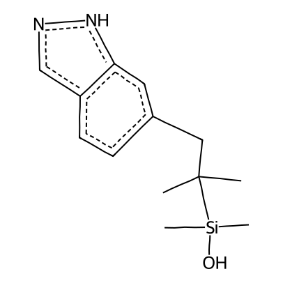 CC(C)(Cc1ccc2cn[nH]c2c1)[Si](C)(C)O